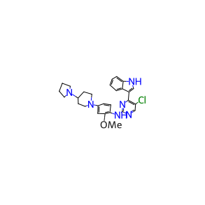 COc1cc(N2CCC(N3CCCC3)CC2)ccc1Nc1ncc(Cl)c(-c2c[nH]c3ccccc23)n1